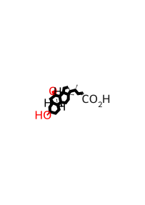 C[C@H](CCC(=O)O)[C@H]1CC[C@H]2C3C(=O)C[C@@H]4C[C@H](O)CC[C@]4(C)[C@H]3CC[C@]12C